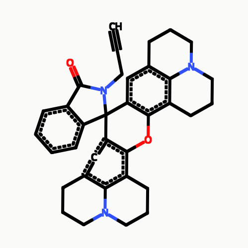 C#CCN1C(=O)c2ccccc2C12c1cc3c4c(c1Oc1c2cc2c5c1CCCN5CCC2)CCCN4CCC3